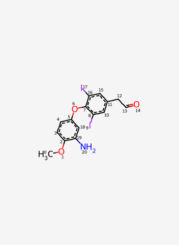 COc1ccc(Oc2c(I)cc(CC=O)cc2I)cc1N